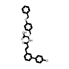 O=C(/C=C/c1cccc(-c2ccc(Cl)cc2)c1)N[C@@H](Cc1ccc(OCc2ccccc2)cc1)C(=O)O